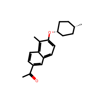 CC(=O)c1ccc2c(C)c(O[C@H]3CC[C@@H](C)CC3)ccc2c1